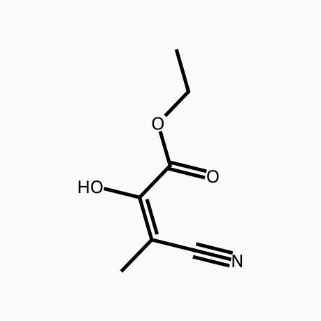 CCOC(=O)C(O)=C(C)C#N